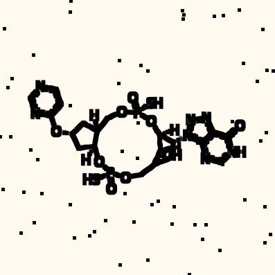 O=c1[nH]cnc2c1nnn2[C@@H]1CC2CO[P@@](=O)(S)O[C@H]3C[C@H](Oc4ccncn4)C[C@@H]3CO[P@@](=O)(S)O[C@@H]1[C@@H]2O